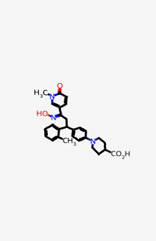 Cc1ccccc1C(C/C(=N/O)c1ccc(=O)n(C)c1)c1ccc(N2CCC(C(=O)O)CC2)cc1